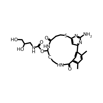 Cc1cc(C)c2cc1C(=O)NCCCC(OC(=O)NCC(O)CO)NC(=O)CCSc1cc-2nc(N)n1